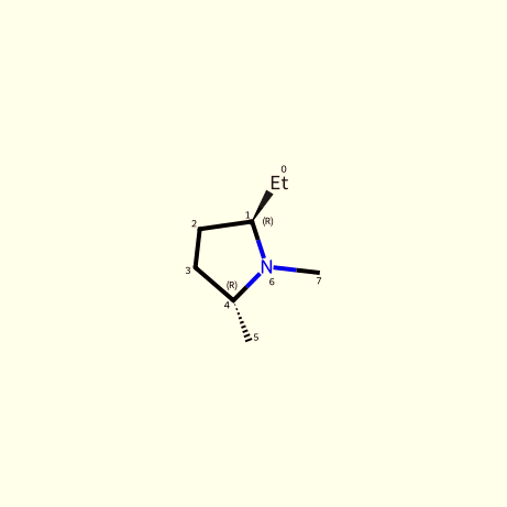 CC[C@@H]1CC[C@@H](C)N1C